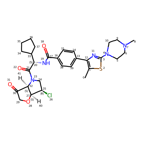 Cc1sc(N2CCN(C)CC2)nc1-c1ccc(C(=O)N[C@H](C(=O)N2C[C@@H](Cl)[C@H]3OCC(=O)[C@H]32)C2CCCC2)cc1